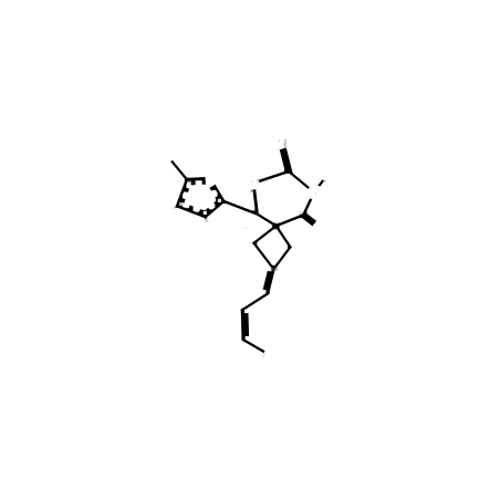 C/C=C\C=C1CC2(C1)C(=O)N(C)C(=N)N[C@]2(C)c1ccc(Br)s1